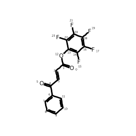 O=C(/C=C/C(=O)c1ccccc1)Oc1c(F)c(F)c(F)c(F)c1F